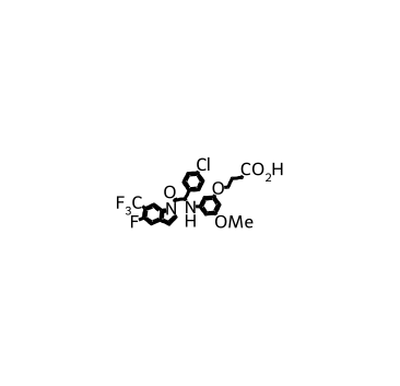 COc1cc(NC(C(=O)n2ccc3cc(F)c(C(F)(F)F)cc32)c2ccc(Cl)cc2)cc(OCCCC(=O)O)c1